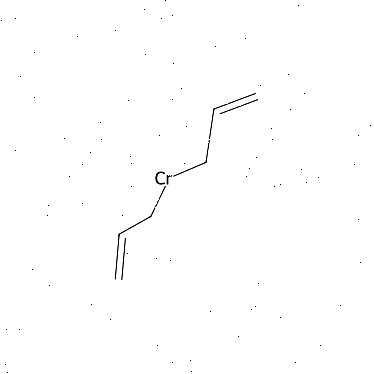 C=C[CH2][Cr][CH2]C=C